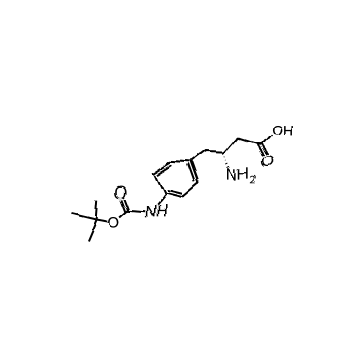 CC(C)(C)OC(=O)Nc1ccc(C[C@@H](N)CC(=O)O)cc1